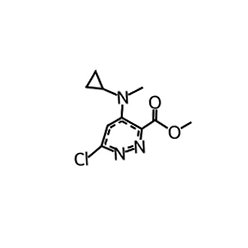 COC(=O)c1nnc(Cl)cc1N(C)C1CC1